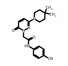 CC1(C)CCN(c2ccc(=O)n(CC(=O)Nc3ccc(C#N)cc3)n2)CC1